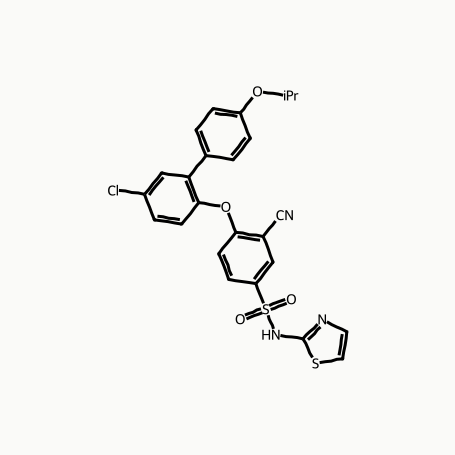 CC(C)Oc1ccc(-c2cc(Cl)ccc2Oc2ccc(S(=O)(=O)Nc3nccs3)cc2C#N)cc1